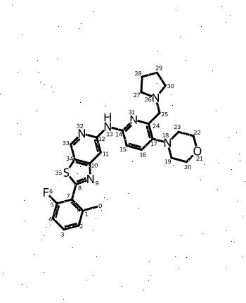 Cc1cccc(F)c1-c1nc2cc(Nc3ccc(N4CCOCC4)c(CN4CCCC4)n3)ncc2s1